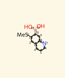 CSc1cc2cccnc2cc1B(O)O